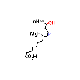 CCCCCCC(O)C/C=C\CCCCCCCC(=O)O.[MgH2]